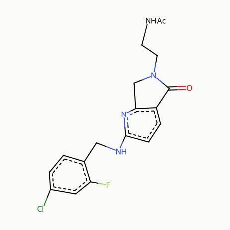 CC(=O)NCCN1Cc2nc(NCc3ccc(Cl)cc3F)ccc2C1=O